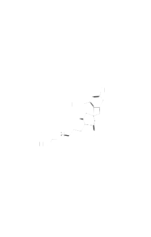 CCON=CCCC1C(=O)CC2(CC1=O)CC1CC(C)=CC(C)=C12